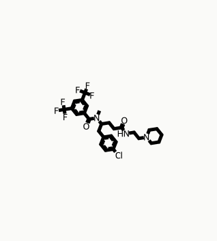 CN(C(=O)c1cc(C(F)(F)F)cc(C(F)(F)F)c1)C(CCC(=O)NCCN1CCCCC1)Cc1ccc(Cl)cc1